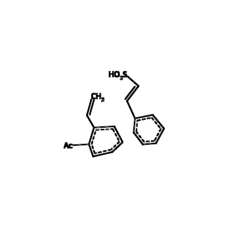 C=Cc1ccccc1C(C)=O.O=S(=O)(O)C=Cc1ccccc1